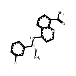 NC[C@@H](Nc1ccnc2c(C(N)=O)cccc12)c1cccc(Cl)c1